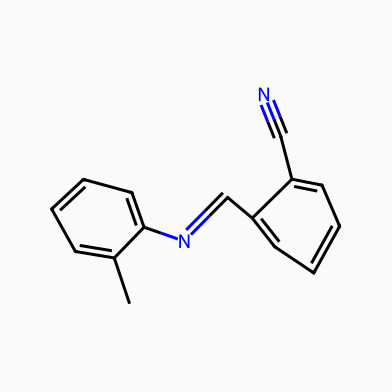 Cc1ccccc1N=Cc1ccccc1C#N